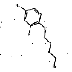 N#Cc1ccc(OCCCCBr)c(Br)c1